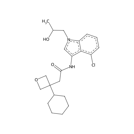 CC(O)Cn1cc(NC(=O)CC2(C3CCCCC3)COC2)c2c(Cl)cccc21